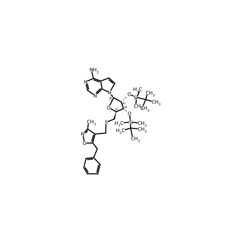 Cc1noc(Cc2ccccc2)c1CSC[C@H]1O[C@@H](n2ccc3c(N)ncnc32)[C@H](O[Si](C)(C)C(C)(C)C)[C@@H]1O[Si](C)(C)C(C)(C)C